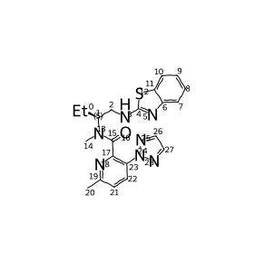 CC[C@@H](CNc1nc2ccccc2s1)N(C)C(=O)c1nc(C)ccc1-n1nccn1